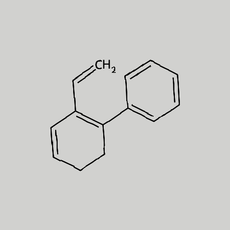 C=CC1=C(c2ccccc2)CCC=C1